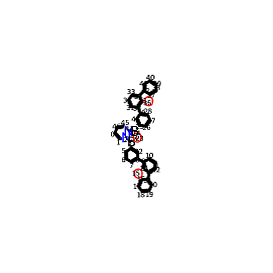 C1=CN2B(c3cccc(-c4cccc5c4oc4ccccc45)c3)OB(c3cccc(-c4cccc5c4oc4ccccc45)c3)N2C=C1